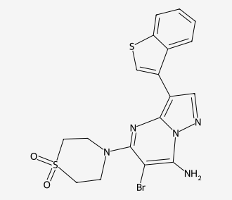 Nc1c(Br)c(N2CCS(=O)(=O)CC2)nc2c(-c3csc4ccccc34)cnn12